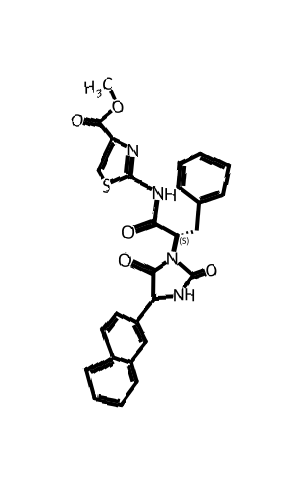 COC(=O)c1csc(NC(=O)[C@H](Cc2ccccc2)N2C(=O)NC(c3ccc4ccccc4c3)C2=O)n1